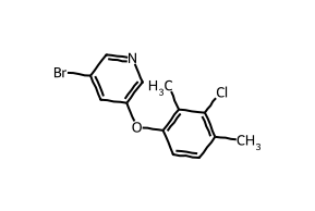 Cc1ccc(Oc2cncc(Br)c2)c(C)c1Cl